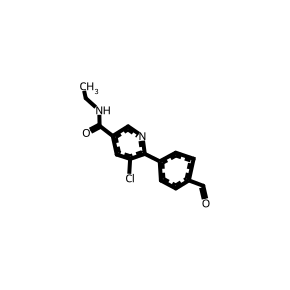 CCNC(=O)c1cnc(-c2ccc(C=O)cc2)c(Cl)c1